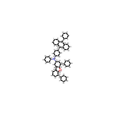 c1ccc(-c2c3ccccc3c(-c3ccc(N(c4ccccc4)c4cc(-c5ccccc5)c5oc6c(-c7ccccc7)cccc6c5c4)cc3)c3ccccc23)cc1